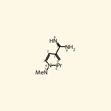 C=C(/C=C\N(NC)C(C)C)C(=N)N